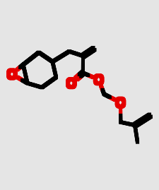 C=C(C)COCOC(=O)C(=C)CC1CCC2OC2C1